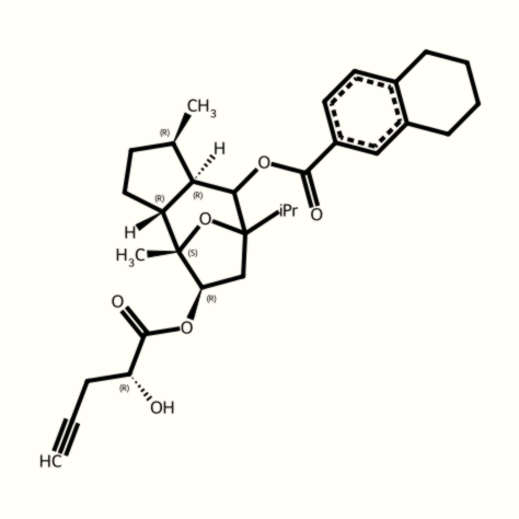 C#CC[C@@H](O)C(=O)O[C@@H]1CC2(C(C)C)O[C@@]1(C)[C@@H]1CC[C@@H](C)[C@H]1C2OC(=O)c1ccc2c(c1)CCCC2